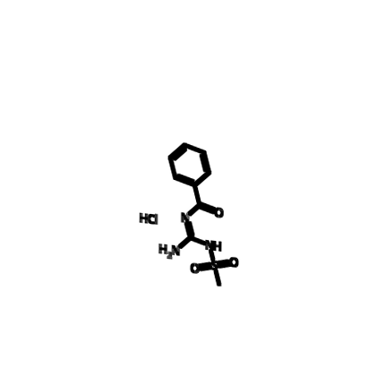 CS(=O)(=O)NC(N)=NC(=O)c1ccccc1.Cl